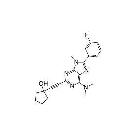 CN(C)c1nc(C#CC2(O)CCCC2)nc2c1nc(-c1cccc(F)c1)n2C